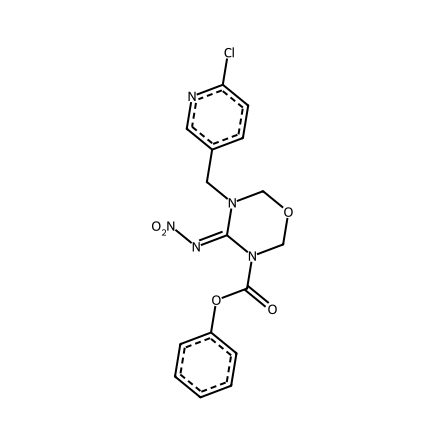 O=C(Oc1ccccc1)N1COCN(Cc2ccc(Cl)nc2)C1=N[N+](=O)[O-]